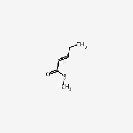 CC/C=C/C(=O)SC